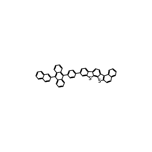 c1ccc2cc(-c3c4ccccc4c(-c4ccc(-c5ccc6c(c5)sc5c6ccc6c5sc5ccc7ccccc7c56)cc4)c4ccccc34)ccc2c1